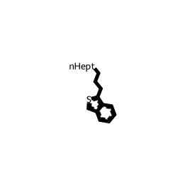 CCCCCCCCCCc1scc2ccccc12